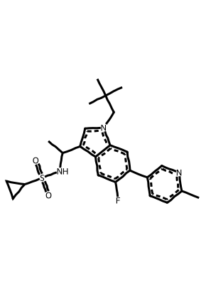 Cc1ccc(-c2cc3c(cc2F)c(C(C)NS(=O)(=O)C2CC2)cn3CC(C)(C)C)cn1